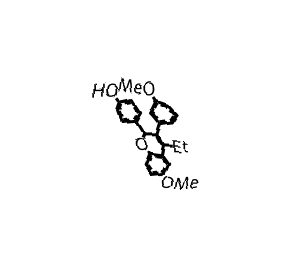 CCC1=C(c2cccc(OC)c2)C(c2ccc(O)cc2)Oc2ccc(OC)cc21